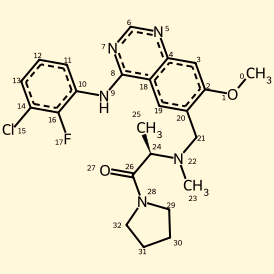 COc1cc2ncnc(Nc3cccc(Cl)c3F)c2cc1CN(C)[C@H](C)C(=O)N1CCCC1